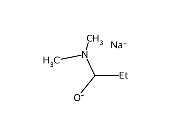 CCC([O-])N(C)C.[Na+]